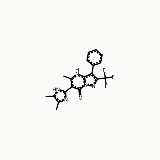 Cc1nc(-c2c(C)[nH]c3c(-c4ccccc4)c(C(F)(F)F)nn3c2=O)[nH]c1C